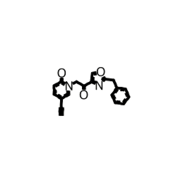 C#Cc1ccc(=O)n(CC(=O)c2coc(Cc3ccccc3)n2)c1